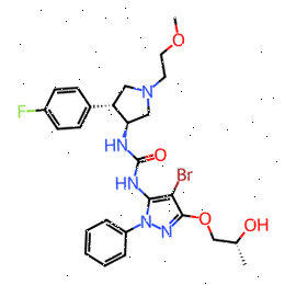 COCCN1C[C@@H](NC(=O)Nc2c(Br)c(OC[C@@H](C)O)nn2-c2ccccc2)[C@H](c2ccc(F)cc2)C1